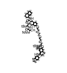 CNC(C)C(=O)NC(C(=O)N1Cc2cc(OCCOCCOCCOCCOc3cc4nccc(Nc5ccc6scnc6c5)c4cc3S(=O)(=O)C(C)(C)C)ccc2C[C@H]1C(=O)N[C@H]1CCCc2ccccc21)C(C)(C)C